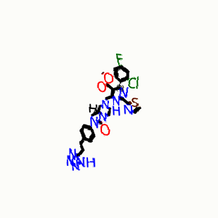 COC(=O)C1=C(CN2CCN3C(=O)N(c4ccc(CCc5nnn[nH]5)cc4)C[C@@H]3C2)NC(c2nccs2)=N[C@H]1c1ccc(F)cc1Cl